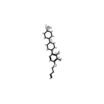 C=CCCOc1ccc(C2CCC(C3CCC(CCCC)CC3)CC2)c(F)c1F